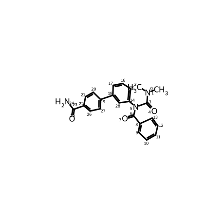 CN(C)C(=O)N(C(=O)c1ccccc1)c1cccc(-c2ccc(C(N)=O)cc2)c1